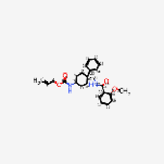 C=CCOC(=O)N[C@H]1CC[C@@](CNC(=O)c2ccccc2OC)(c2ccccc2)CC1